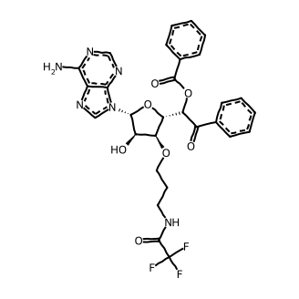 Nc1ncnc2c1ncn2[C@@H]1O[C@H](C(OC(=O)c2ccccc2)C(=O)c2ccccc2)[C@@H](OCCCNC(=O)C(F)(F)F)[C@H]1O